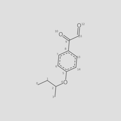 CCC(C)Oc1ccc(C(=O)[C]=O)cc1